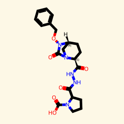 O=C(NNC(=O)[C@@H]1CC[C@@H]2CN1C(=O)N2OCc1ccccc1)C1CCCN1C(=O)O